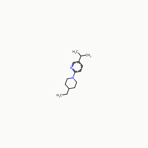 CCC1CCN(c2ccc(C(C)C)cn2)CC1